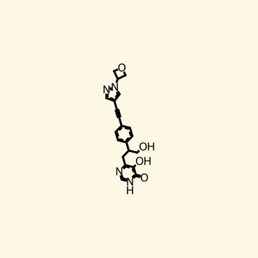 O=c1[nH]cnc(CC(CO)c2ccc(C#Cc3cnn(C4COC4)c3)cc2)c1O